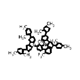 Cc1ccc(-c2ccc3c(c2)c2cc(-c4ccc(C)cc4C)ccc2n3-c2ccc(-c3ccccc3C(F)(F)F)c(-n3c4ccc(-c5ccc(C)cc5C)cc4c4cc(-c5ccc(C)cc5C)ccc43)c2C#N)c(C)c1